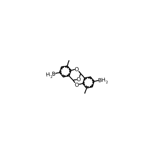 Bc1cc(C)c2c(c1)C1Oc3c(C)cc(B)cc3C(O2)O1